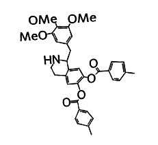 COc1cc(CC2NCCc3cc(OC(=O)c4ccc(C)cc4)c(OC(=O)c4ccc(C)cc4)cc32)cc(OC)c1OC